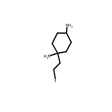 NC1CCC(N)(CCF)CC1